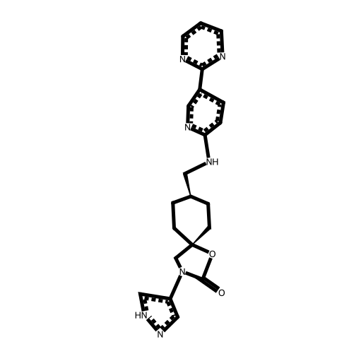 O=C1O[C@]2(CC[C@H](CNc3ccc(-c4ncccn4)cn3)CC2)CN1c1cn[nH]c1